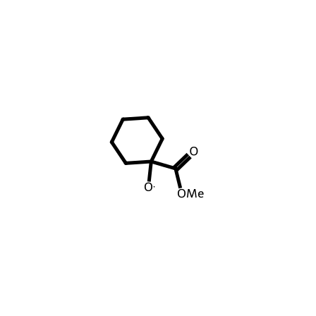 COC(=O)C1([O])CCCCC1